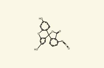 O=C=Nc1cccc2c1C(=O)OC21c2ccc(O)cc2Oc2cc(O)ccc21